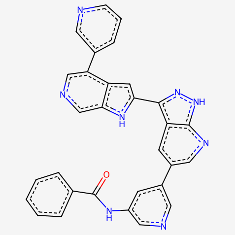 O=C(Nc1cncc(-c2cnc3[nH]nc(-c4cc5c(-c6cccnc6)cncc5[nH]4)c3c2)c1)c1ccccc1